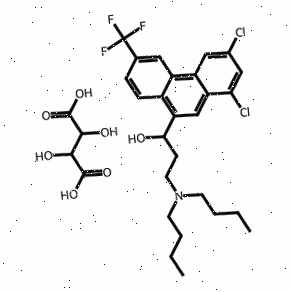 CCCCN(CCCC)CCC(O)c1cc2c(Cl)cc(Cl)cc2c2cc(C(F)(F)F)ccc12.O=C(O)C(O)C(O)C(=O)O